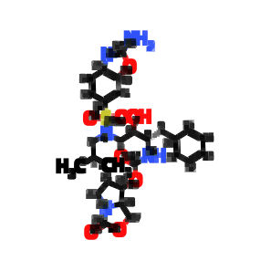 CC(C)CN(C[C@@H](O)[C@H](Cc1ccccc1)NC(=O)OC1CCN2C(=O)OCC12)S(=O)(=O)c1ccc2nc(N)oc2c1